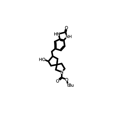 CC(C)(C)OC(=O)N1CCC2(CC(O)C(Cc3ccc4[nH]c(=O)[nH]c4c3)C2)C1